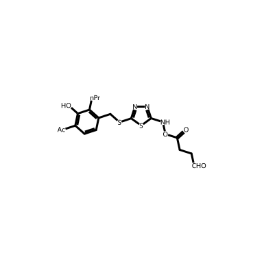 CCCc1c(CSc2nnc(NOC(=O)CCC=O)s2)ccc(C(C)=O)c1O